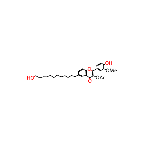 COc1cc(-c2oc3ccc(CCCCCCCCCCCCO)cc3c(=O)c2OC(C)=O)ccc1O